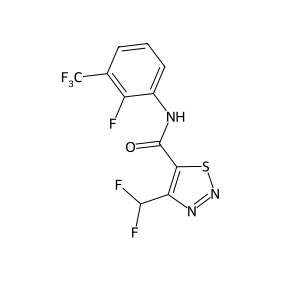 O=C(Nc1cccc(C(F)(F)F)c1F)c1snnc1C(F)F